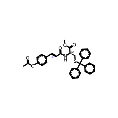 COC(=O)[C@@H](CSC(c1ccccc1)(c1ccccc1)c1ccccc1)NC(=O)/C=C/c1ccc(OC(C)=O)cc1